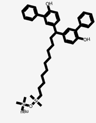 CCCC[Si](C)(C)O[Si](C)(C)CCCCCCCCCCC(c1ccc(O)c(-c2ccccc2)c1)c1ccc(O)c(-c2ccccc2)c1